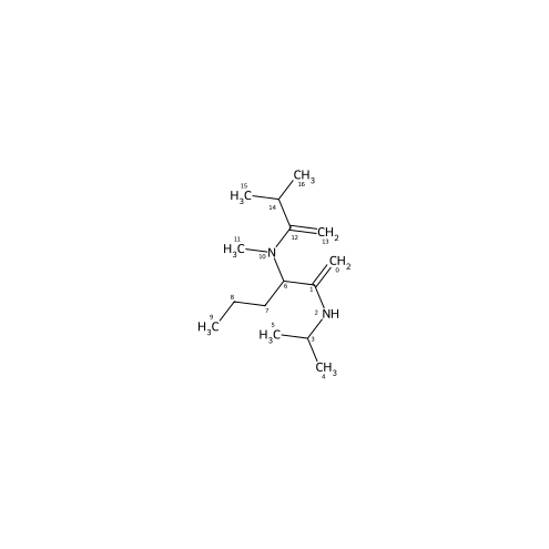 C=C(NC(C)C)C(CCC)N(C)C(=C)C(C)C